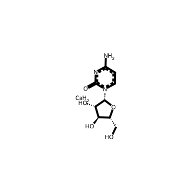 Nc1ccn([C@@H]2O[C@H](CO)[C@@H](O)[C@@H]2O)c(=O)n1.[CaH2]